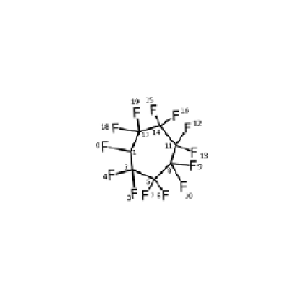 FC1C(F)(F)C(F)(F)C(F)(F)C(F)(F)C(F)(F)C1(F)F